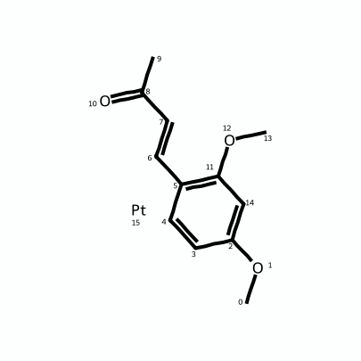 COc1ccc(C=CC(C)=O)c(OC)c1.[Pt]